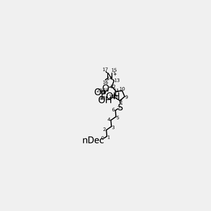 CCCCCCCCCCCCCCCCSC1CCC(C(C[N+](C)(C)C)OP(=O)(O)O)C1